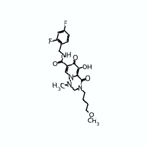 COCCCCN1CN(C)n2cc(C(=O)NCc3ccc(F)cc3F)c(=O)c(O)c2C1=O